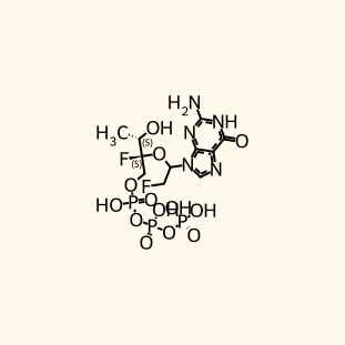 C[C@H](O)[C@@](F)(COP(=O)(O)OP(=O)(O)OP(=O)(O)O)OC(CF)n1cnc2c(=O)[nH]c(N)nc21